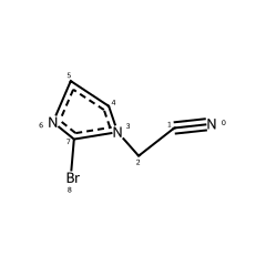 N#CCn1ccnc1Br